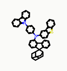 c1ccc2c(c1)-c1c(N(c3ccc(-n4c5ccccc5c5ccccc54)cc3)c3ccc4sc5ccccc5c4c3)cccc1C21C2CC3CC(C2)CC1C3